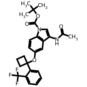 CC(=O)Nc1cn(C(=O)OC(C)(C)C)c2ccc(OC3(c4ccccc4C(F)(F)F)CCC3)cc12